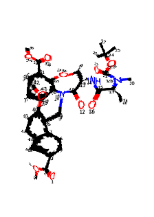 COC(=O)c1ccc2c(CN3C(=O)[C@@H](NC(=O)[C@H](C)N(C)C(=O)OC(C)(C)C)COc4c(C(=O)OC)cccc43)c(OC)ccc2c1